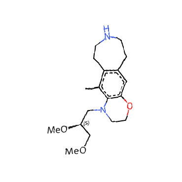 COC[C@H](CN1CCOc2cc3c(c(C)c21)CCNCC3)OC